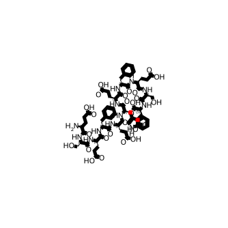 N[C@@H](CCC(=O)O)C(=O)N[C@@H](CO)C(=O)N[C@@H](CCC(=O)O)C(=O)N[C@H](Cc1ccccc1)C(=O)N[C@@H](CCC(=O)O)C(=O)N[C@H](Cc1c[nH]c2ccccc12)C(=O)N[C@@H](CCC(=O)O)C(=O)N[C@H](Cc1ccccc1)C(=O)N[C@@H](CCC(=O)O)C(=O)N[C@@H](CO)C(=O)N[C@@H](CCC(=O)O)C(=O)O